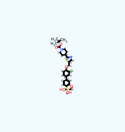 CC(C)(C)OC(=O)N1CCC(c2ncc(COc3ccc(-c4ccc5c(c4)OCS5(O)O)cc3F)s2)CC1